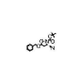 CC(C)(C)OC(=O)N[C@H](C#N)CC(=O)OCc1ccccc1